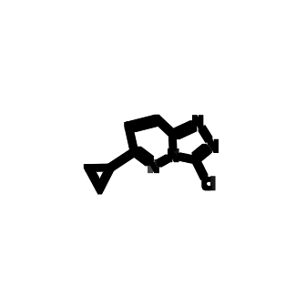 Clc1nnc2ccc(C3CC3)nn12